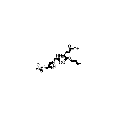 CCCCOC(=O)[C@H](CCC(=O)O)NC(=O)Cn1cc(COS(C)(=O)=O)nn1